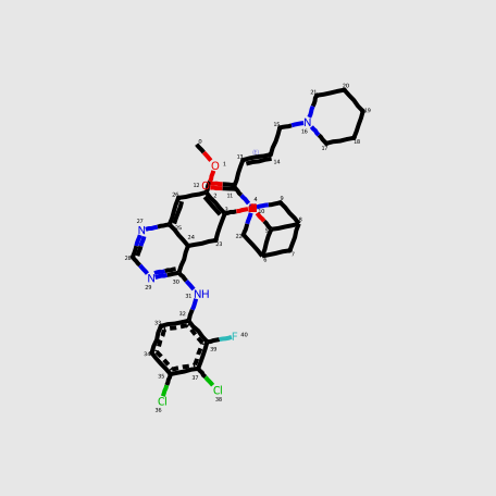 COC1=C(OC2C3CC2CN(C(=O)/C=C/CN2CCCCC2)C3)CC2C(=C1)N=CN=C2Nc1ccc(Cl)c(Cl)c1F